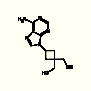 Nc1ncnc2c1ncn2C1CC(CO)(CO)C1